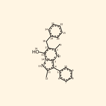 Cc1nc2c(-c3ccccc3)c(C)nn2c(O)c1Cc1ccccc1